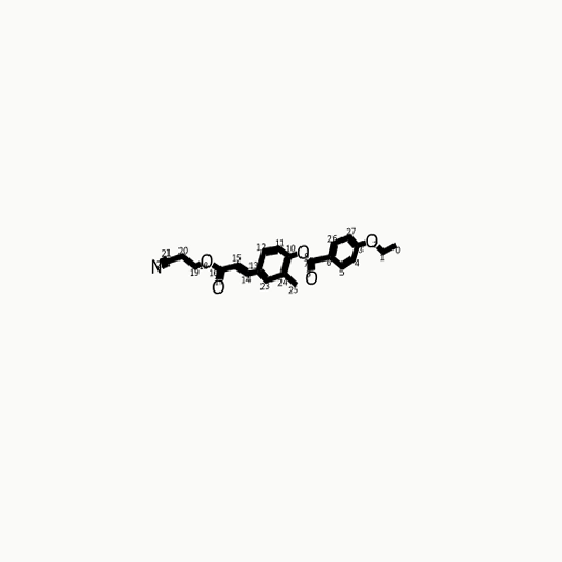 CCOc1ccc(C(=O)Oc2ccc(/C=C/C(=O)OCCC#N)cc2C)cc1